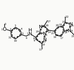 COc1ccc(CNc2cc(C)nn3c(-c4ccc5c(c4)c(C)nn5C)c(C)nc23)cc1